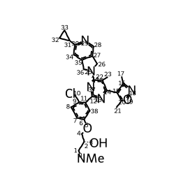 CNC[C@@H](O)COc1ccc(Cl)c(-c2nc(-c3c(C)noc3C)c(C)c(N3Cc4cnc(C5CC5)cc4C3)n2)c1